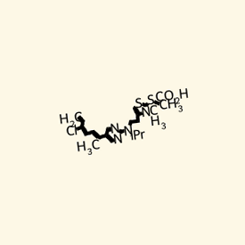 C=C/C(Cl)=C\C=C(/C)c1cnc(N(CCc2csc(SC(C)(C)C(=O)O)n2)C(C)C)nc1